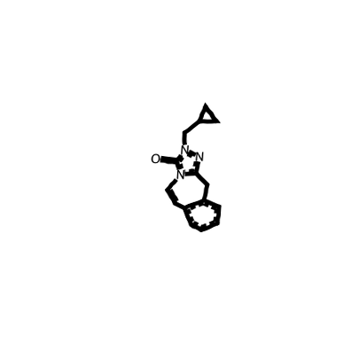 O=c1n(CC2CC2)nc2n1C=Cc1ccccc1C2